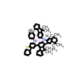 CC(C)(C)c1ccc(N2B3c4cc5c(cc4-n4c6cc7c(cc6c6c8c(c(c3c64)-c3cc4c(cc32)sc2ccccc24)-c2ccccc2C8(C)C)C(C)(C)CCC7(C)C)C(C)(C)c2ccccc2-5)cc1